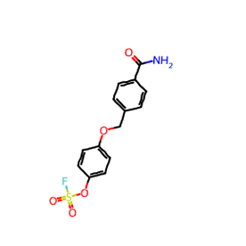 NC(=O)c1ccc(COc2ccc(OS(=O)(=O)F)cc2)cc1